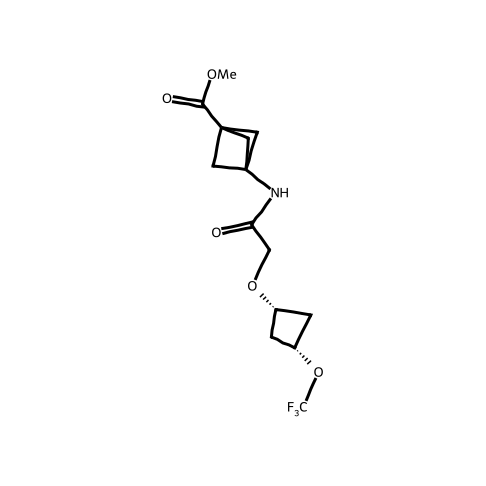 COC(=O)C12CC(NC(=O)CO[C@H]3C[C@@H](OC(F)(F)F)C3)(C1)C2